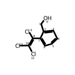 OCc1ccccc1C(Cl)=C(Cl)Cl